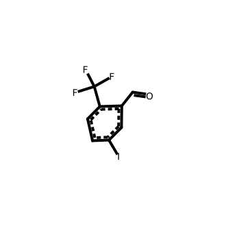 O=Cc1cc(I)ccc1C(F)(F)F